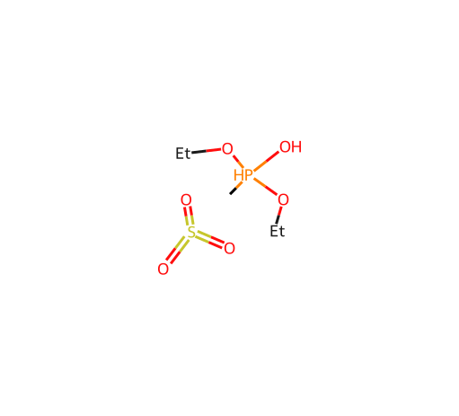 CCO[PH](C)(O)OCC.O=S(=O)=O